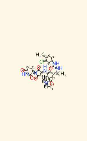 Cc1ccc(NC(=O)NC(C)c2cc(NC3=CC(=O)N(C4CCC(=O)NC4=O)C3=O)cc(C(=O)N(C)C)c2)cc1Cl